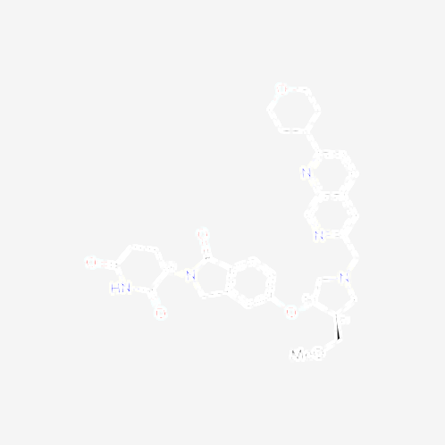 COC[C@@H]1CN(Cc2cc3ccc(C4CCOCC4)nc3cn2)C[C@H]1Oc1ccc2c(c1)CN([C@H]1CCC(=O)NC1=O)C2=O